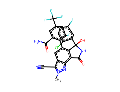 Cn1nc2c3c(c(-c4c(F)cc(C(F)(F)F)cc4C(N)=O)cc2c1C#N)C(O)(c1cc(F)ccc1Cl)NC3=O